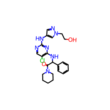 O=C(C(Nc1nc(Nc2cnn(CCO)c2)ncc1Cl)c1ccccc1)N1CCCCC1